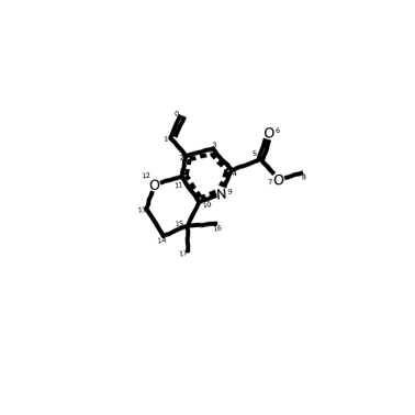 C=Cc1cc(C(=O)OC)nc2c1OCCC2(C)C